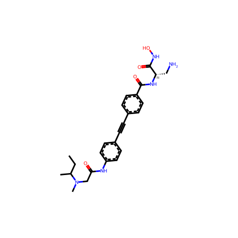 CCC(C)N(C)CC(=O)Nc1ccc(C#Cc2ccc(C(=O)N[C@@H](CN)C(=O)NO)cc2)cc1